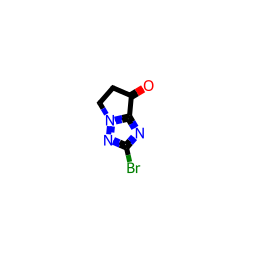 O=C1CCn2nc(Br)nc21